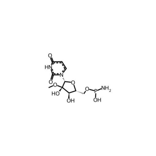 CO[C@@]1(O)[C@H](O)[C@@H](COP(N)O)O[C@H]1n1ccc(=O)[nH]c1=O